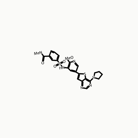 CNC(=O)c1cccc(S(=O)(=O)Nc2cc(-c3cc4ncnc(N5CCCC5)c4s3)cnc2OC)c1